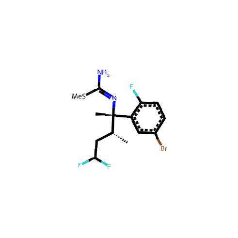 CS/C(N)=N\[C@](C)(c1cc(Br)ccc1F)[C@H](C)CC(F)F